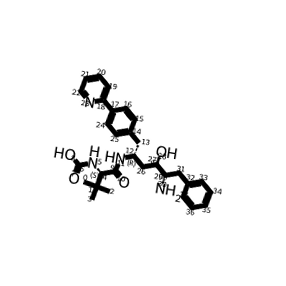 CC(C)(C)[C@H](NC(=O)O)C(=O)N[C@H](Cc1ccc(-c2ccccn2)cc1)C[C@@H](O)[C@@H](N)Cc1ccccc1